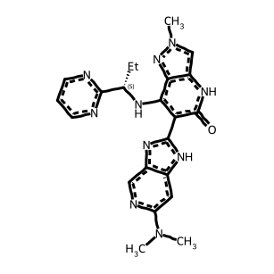 CC[C@H](Nc1c(-c2nc3cnc(N(C)C)cc3[nH]2)c(=O)[nH]c2cn(C)nc12)c1ncccn1